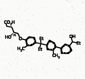 CCC(O)c1cccc(-c2ccc(C(CC)(CC)c3ccc(OC[C@H](O)CCC(=O)O)c(C)c3)cc2C)c1